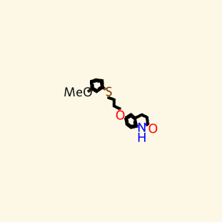 COc1cccc(SCCCCOc2ccc3c(c2)CCC(=O)N3)c1